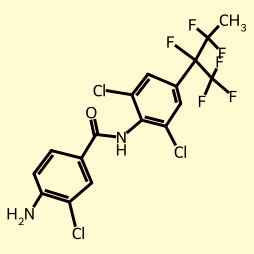 CC(F)(F)C(F)(c1cc(Cl)c(NC(=O)c2ccc(N)c(Cl)c2)c(Cl)c1)C(F)(F)F